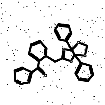 O=C(c1ccccc1)c1ccccc1CC1=NC2(c3ccccc3)OCOC2(c2ccccc2)O1